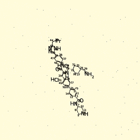 Cc1cc(C(=O)NC2CCNCC2)ccc1-c1ccc(C[C@H](NC(=O)[C@H]2CC[C@H](CN)CC2)C(=O)Nc2ccc(-c3nnc(CC(C)C)[nH]3)cc2)cc1.Cl